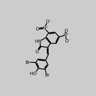 O=C1Nc2c(cc([N+](=O)[O-])cc2[N+](=O)[O-])/C1=C/c1cc(Br)c(O)c(Br)c1